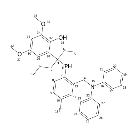 CCCC(CC)(Pc1ccc(F)cc1CN(c1ccccc1)c1ccccc1)c1cc(OC)cc(OC)c1O